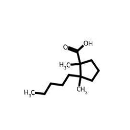 CCCCCC1(C)CCCC1(C)C(=O)O